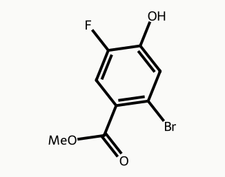 COC(=O)c1cc(F)c(O)cc1Br